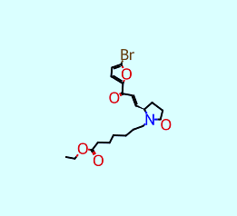 CCOC(=O)CCCCCCN1C(=O)CC[C@@H]1/C=C/C(=O)c1ccc(Br)o1